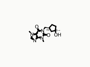 Cn1cnc2c1c(=O)n(C[C@H]1CC[C@@](C)(O)C1)c(=O)n2C